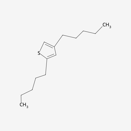 CCCCCc1csc(CCCCC)c1